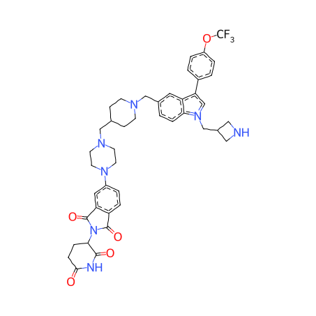 O=C1CCC(N2C(=O)c3ccc(N4CCN(CC5CCN(Cc6ccc7c(c6)c(-c6ccc(OC(F)(F)F)cc6)cn7CC6CNC6)CC5)CC4)cc3C2=O)C(=O)N1